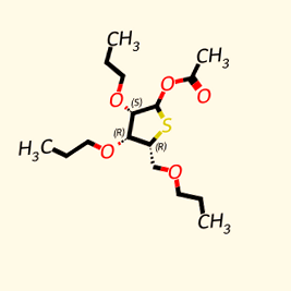 CCCOC[C@H]1SC(OC(C)=O)[C@@H](OCCC)[C@H]1OCCC